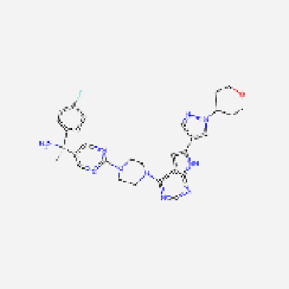 C[C@](N)(c1ccc(F)cc1)c1cnc(N2CCN(c3ncnc4[nH]c(-c5cnn(C6CCOCC6)c5)cc34)CC2)nc1